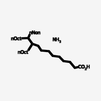 CCCCCCCCCC(CCCCCCCC)C(CCCCCCCC)CCCCCCCCC(=O)O.N